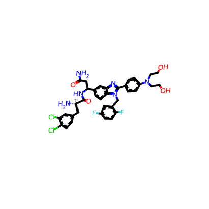 NC(=O)CC(NC(=O)[C@@H](N)Cc1ccc(Cl)c(Cl)c1)c1ccc2c(c1)nc(-c1ccc(N(CCO)CCO)cc1)n2Cc1cc(F)ccc1F